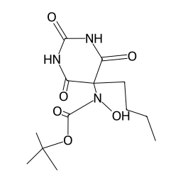 CCCCC1(N(O)C(=O)OC(C)(C)C)C(=O)NC(=O)NC1=O